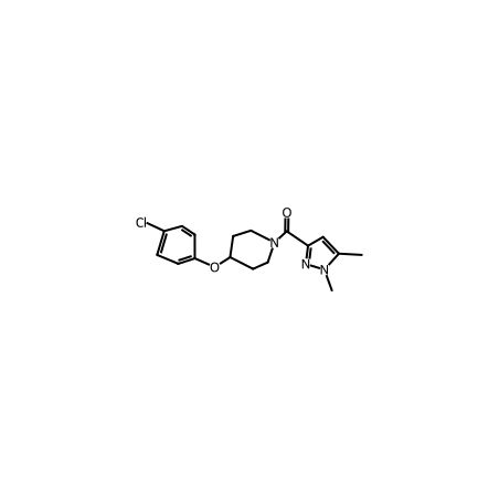 Cc1cc(C(=O)N2CCC(Oc3ccc(Cl)cc3)CC2)nn1C